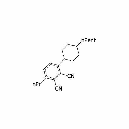 CCCCCC1CCC(c2ccc(CCC)c(C#N)c2C#N)CC1